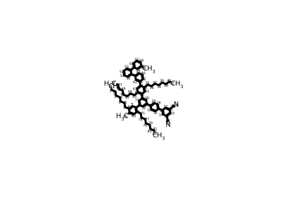 CCCCCCCCc1cc(-c2cc(-c3ccc(-c4cc(C#N)cc(C#N)c4)cc3)cc(-c3cc(CCCCCCCC)c(-c4cccc(-c5ccccc5-c5cccc(C)c5)c4)cc3CCCCCCCC)c2)c(CCCCCCCC)cc1C